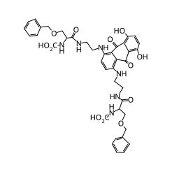 O=C(O)NC(COCc1ccccc1)C(=O)NCCNc1ccc(NCCNC(=O)C(COCc2ccccc2)NC(=O)O)c2c1C(=O)c1c(O)ccc(O)c1C2=O